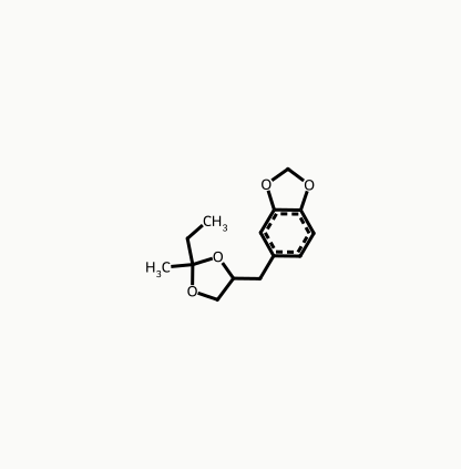 CCC1(C)OCC(Cc2ccc3c(c2)OCO3)O1